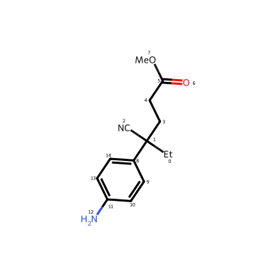 CCC(C#N)(CCC(=O)OC)c1ccc(N)cc1